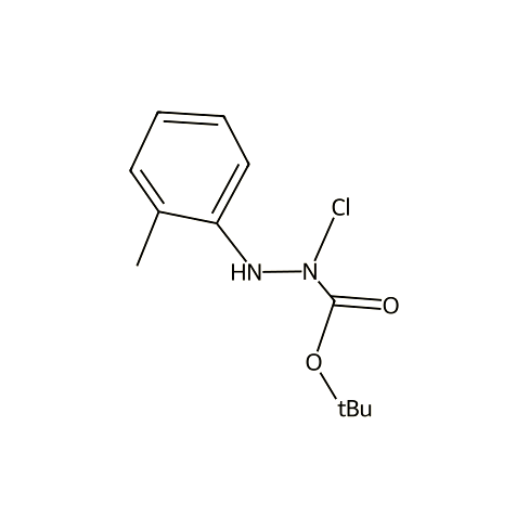 Cc1ccccc1NN(Cl)C(=O)OC(C)(C)C